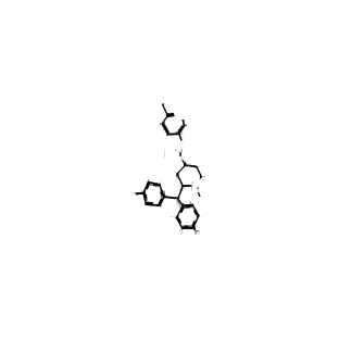 C=C(C)/C=C\C(=C/C)SNC1CCN(C)C(C(c2ccc(F)cc2)c2ccc(F)cc2)C1